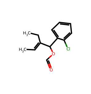 C/C=C(\CC)C(OC=O)c1ccccc1Cl